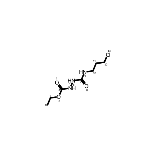 CCOC(=O)NNC(=O)NCCCCl